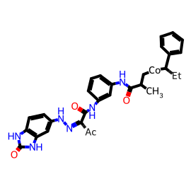 CC[CH]([Co][CH2]C(C)C(=O)Nc1cccc(NC(=O)/C(=N\Nc2ccc3[nH]c(=O)[nH]c3c2)C(C)=O)c1)c1ccccc1